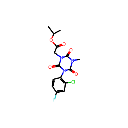 CC(C)OC(=O)Cn1c(=O)n(C)c(=O)n(-c2ccc(F)cc2Cl)c1=O